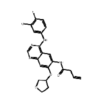 C=CCC(=O)Nc1cc2c(Nc3ccc(F)c(Cl)c3)ncnc2cc1OC1CCOC1